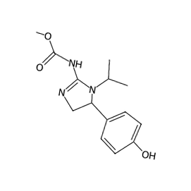 COC(=O)NC1=NCC(c2ccc(O)cc2)N1C(C)C